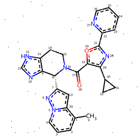 Cc1cccn2nc([C@@H]3c4nc[nH]c4CCN3C(=O)c3oc(-c4ccccn4)nc3C3CC3)cc12